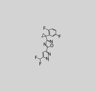 Cn1nc(-c2nc(C3(c4cc(F)ccc4F)CC3)no2)cc1C(F)F